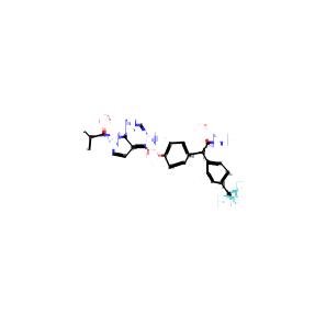 CC(C)C(=O)n1ccc2c(Oc3ccc(C(C(N)=O)c4ccc(C(F)(F)F)cc4)cc3)ncnc21